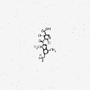 Cc1cc(CC(F)(F)F)cc2c1cc(C(=O)c1c(Cl)ncc(C(=O)O)c1Cl)n2C